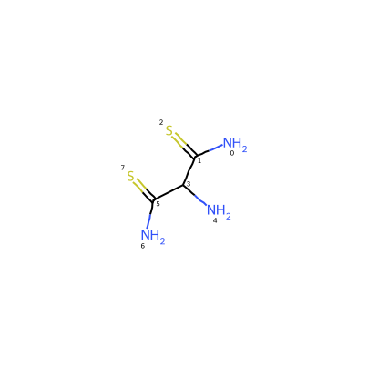 NC(=S)C(N)C(N)=S